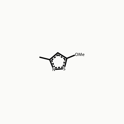 COc1cc(C)ns1